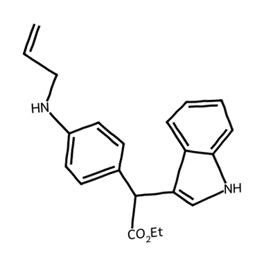 C=CCNc1ccc(C(C(=O)OCC)c2c[nH]c3ccccc23)cc1